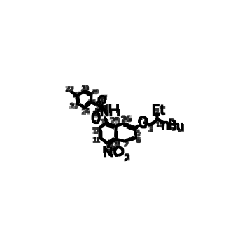 CCCCC(CC)COc1ccc2c([N+](=O)[O-])ccc(NS(=O)(=O)c3ccc(C)cc3)c2c1